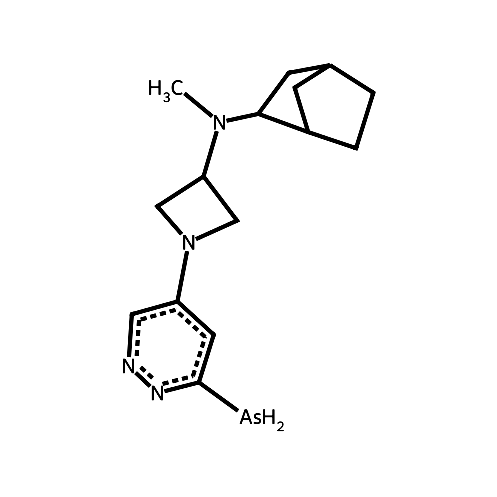 CN(C1CN(c2cnnc([AsH2])c2)C1)C1CC2CCC1C2